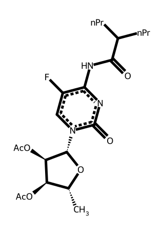 CCCC(CCC)C(=O)Nc1nc(=O)n([C@@H]2O[C@H](C)[C@@H](OC(C)=O)[C@H]2OC(C)=O)cc1F